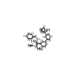 N#Cc1cnc2ccc(-c3cccc(-c4nnc[nH]4)c3)cc2c1NCCc1ccccc1